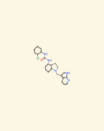 O=C(Nc1ccccc1Cl)Nc1cccc2c1CCN2Cc1c[nH]c2ncccc12